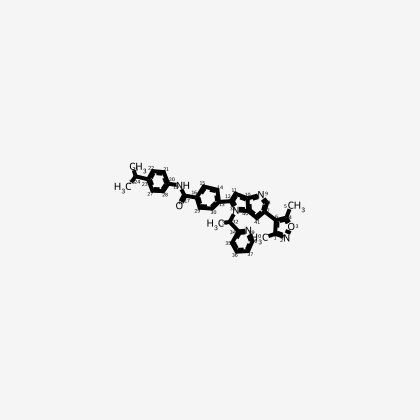 Cc1noc(C)c1-c1cnc2cc(-c3ccc(C(=O)Nc4ccc(C(C)C)cc4)cc3)n(C(C)c3ccccn3)c2c1